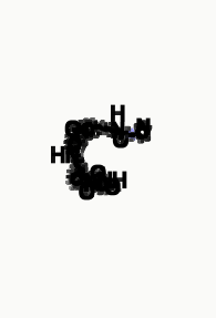 O=C(/C=C/c1cccnc1)NCCCCC1CCN(C(=O)c2ccc(NCCSc3cccc4c3CN(C3CCC(=O)NC3=O)C4=O)cc2)CC1